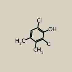 Cc1cc(Cl)c(O)c(Cl)c1C